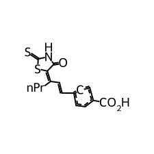 CCCC(/C=C/c1ccc(C(=O)O)cc1)=C1\SC(=S)NC1=O